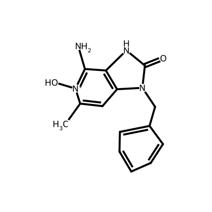 Cc1cc2c([nH]c(=O)n2Cc2ccccc2)c(N)[n+]1O